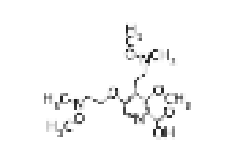 COc1c(C(=O)O)ncc(OCCN(C)OC)c1CCN(C)OC